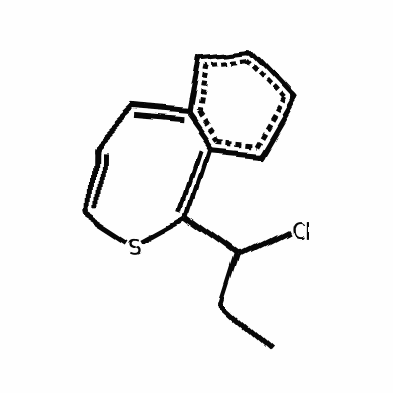 CCC(Cl)C1=c2ccccc2=CC=CS1